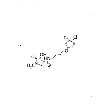 CN1CC(C(=O)NCCCCOc2ccc(Cl)c(Cl)c2)=C(O)C1=O